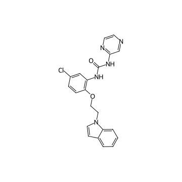 O=C(Nc1cnccn1)Nc1cc(Cl)ccc1OCCn1ccc2ccccc21